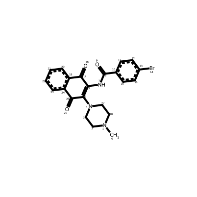 CN1CCN(C2=C(NC(=O)c3ccc(Br)cc3)C(=O)c3ccccc3C2=O)CC1